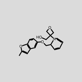 Cc1cc2cc(OCC3C=CC=CN3C3(CO)COC3)ccc2o1